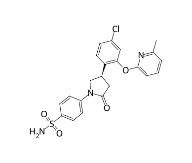 Cc1cccc(Oc2cc(Cl)ccc2[C@H]2CC(=O)N(c3ccc(S(N)(=O)=O)cc3)C2)n1